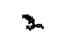 C.CC(N)CCN.Cl